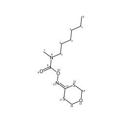 CCCCCCN(C)C(=O)ON=C1SCOCS1